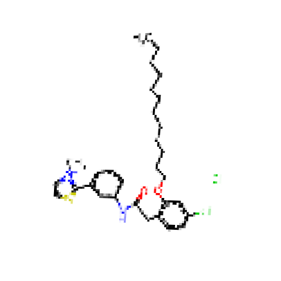 CCCCCCCCCCCCOc1cc(Cl)ccc1CC(=O)Nc1cccc(-c2scc[n+]2C)c1.[Cl-]